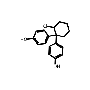 Oc1ccc(C2(c3ccc(O)cc3)CCCCC2Cl)cc1